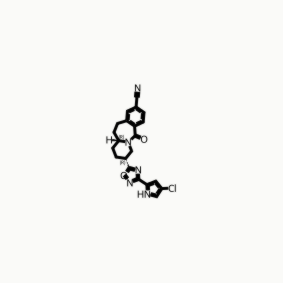 N#Cc1ccc2c(c1)CC[C@H]1CC[C@@H](c3nc(-c4cc(Cl)c[nH]4)no3)CN1C2=O